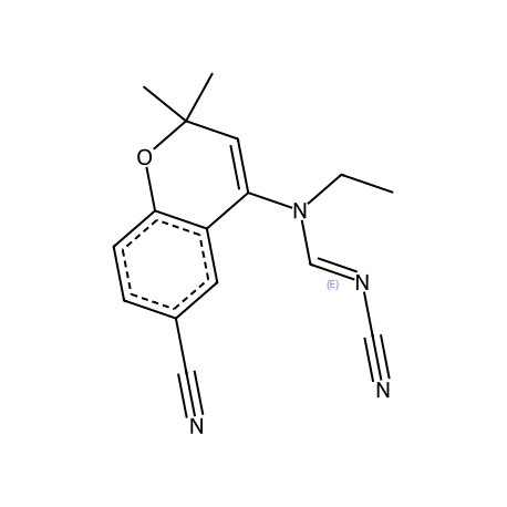 CCN(/C=N/C#N)C1=CC(C)(C)Oc2ccc(C#N)cc21